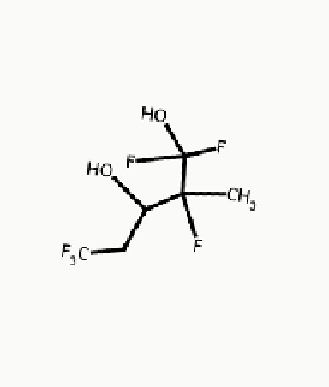 CC(F)(C(O)CC(F)(F)F)C(O)(F)F